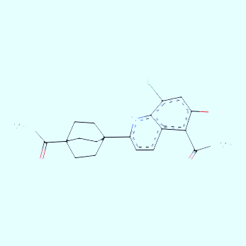 COC(=O)c1c(O)cc(Cl)c2nc(C34CCC(C(=O)OC)(CC3)CC4)ccc12